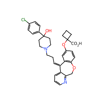 O=C(O)C1(Oc2ccc3c(c2)C(=CCCN2CCC(O)(c4ccc(Cl)cc4)CC2)c2cccnc2CO3)CCC1